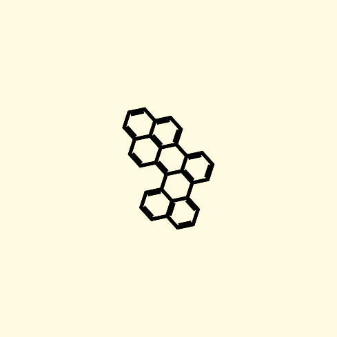 c1cc2ccc3c4cccc5c6cccc7cccc(c76)c(c6ccc(c1)c2c36)c54